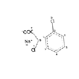 Clc1ccccc1.O=C([O-])CCl.[Na+]